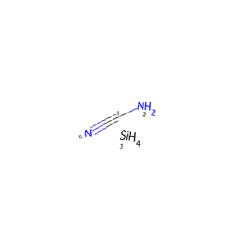 N#CN.[SiH4]